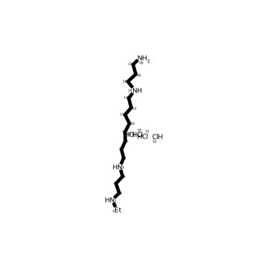 CCNCCCNCCCCCCCCNCCCN.Cl.Cl.Cl.Cl